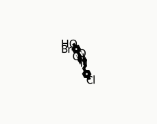 O=S(=O)(c1ccc(O)c(Br)c1)N1CCN(CCc2ccc(Cl)cc2)CC1